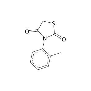 Cc1ccccc1N1C(=O)CSC1=O